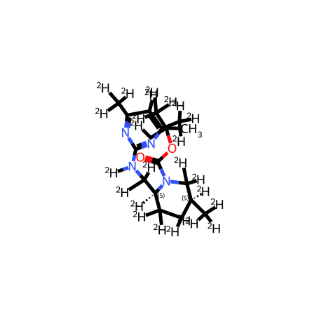 [2H]CC(C)(OC(=O)N1C([2H])([2H])[C@@]([2H])(C([2H])([2H])[2H])C([2H])([2H])C([2H])([2H])[C@@]1([2H])C([2H])([2H])N([2H])c1nc(C([2H])([2H])[2H])c([2H])c(C([2H])([2H])[2H])n1)C([2H])([2H])[2H]